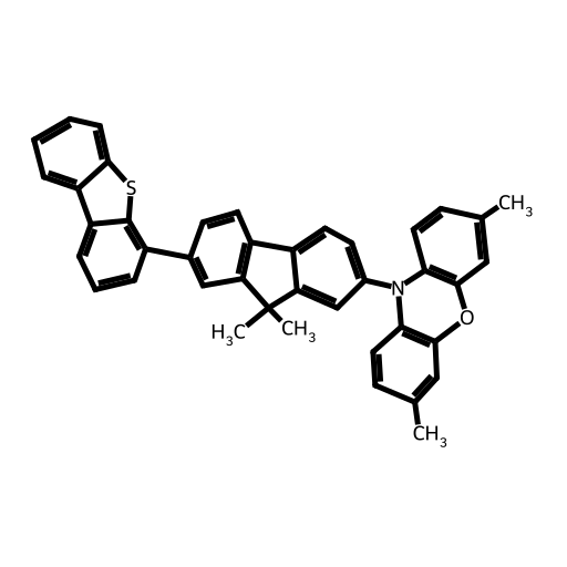 Cc1ccc2c(c1)Oc1cc(C)ccc1N2c1ccc2c(c1)C(C)(C)c1cc(-c3cccc4c3sc3ccccc34)ccc1-2